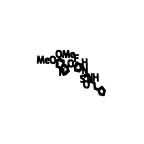 COc1cc2nccc(Oc3ccc(NC(=S)NC(=O)CCC4CCCC4)cc3F)c2cc1OC